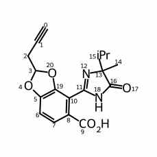 C#CCC1Oc2ccc(C(=O)O)c(C3=NC(C)(C(C)C)C(=O)N3)c2O1